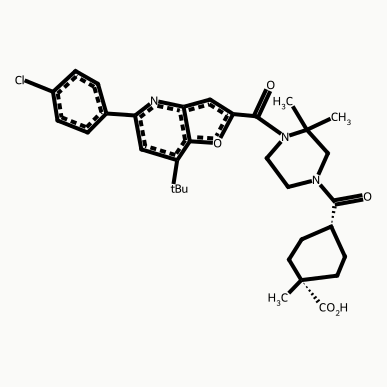 CC(C)(C)c1cc(-c2ccc(Cl)cc2)nc2cc(C(=O)N3CCN(C(=O)[C@H]4CC[C@@](C)(C(=O)O)CC4)CC3(C)C)oc12